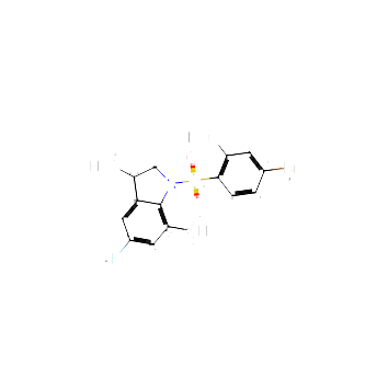 Cc1cc(Br)ccc1S(=O)(=O)N1CC(C)c2cc(F)cc(C)c21